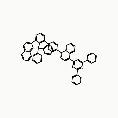 c1ccc(-c2cc(-c3ccc(-c4ccc(-c5cccc6c5C(c5ccccc5)(c5ccccc5)c5c-6ccc6ccccc56)cc4)c4ccccc34)nc(-c3ccccc3)n2)cc1